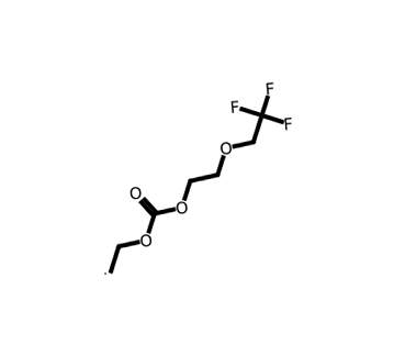 [CH2]COC(=O)OCCOCC(F)(F)F